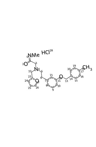 CNC(=O)CN(CCc1cccc(OCc2ccc(C)cc2)c1)Cc1ccco1.Cl